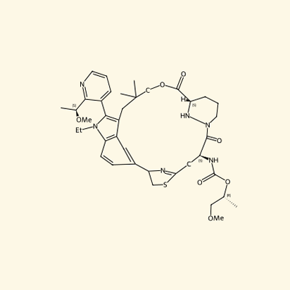 CCn1c(-c2cccnc2[C@H](C)OC)c2c3cc(ccc31)C1CSC(=N1)C[C@H](NC(=O)O[C@H](C)COC)C(=O)N1CCC[C@H](N1)C(=O)OCC(C)(C)C2